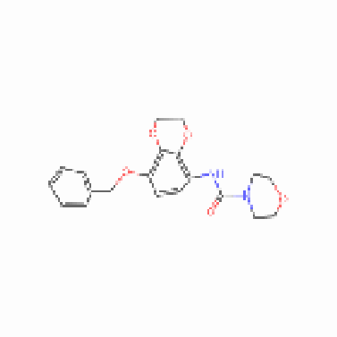 O=C(Nc1ccc(OCc2ccccc2)c2c1OCCO2)N1CCOCC1